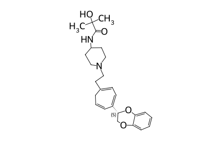 CC(C)(O)C(=O)NC1CCN(CCC2=CC=C([C@H]3COc4ccccc4O3)C=CC2)CC1